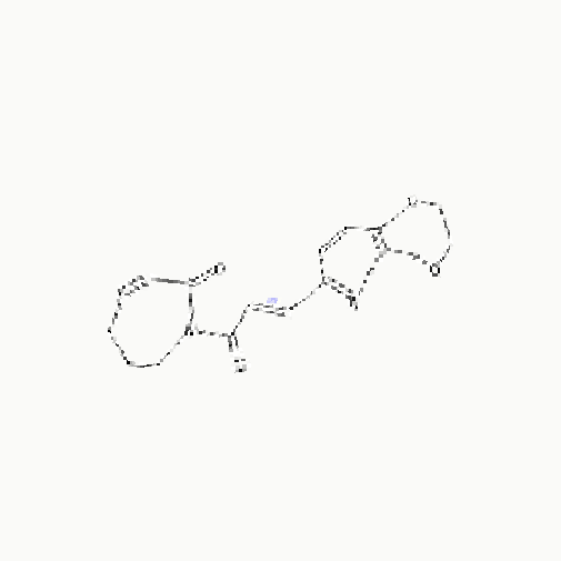 O=C1C=CCCCN1C(=O)/C=C/c1ccc2c(n1)OCCO2